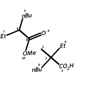 CCCCC(C)(CC)C(=O)O.CCCCC(CC)C(=O)OC